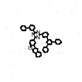 c1ccc(-c2cc(-c3ccccc3)cc(-c3cccc(-c4nc(-c5cccc(-c6ccccc6)c5)nc(-c5ccc6oc7cc8ccccc8cc7c6c5)n4)c3)c2)cc1